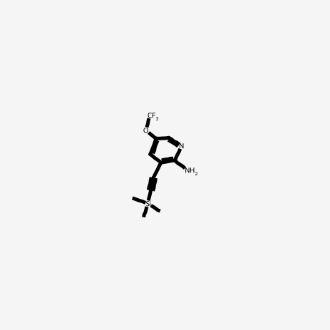 C[Si](C)(C)C#Cc1cc(OC(F)(F)F)cnc1N